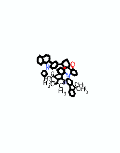 C=CC1=C(/C=C\C)c2c(N(c3ccc4c(c3)C(C)(C)c3ccccc3-4)c3cccc4oc5ccc(-c6ccc7c(c6)c6ccc8ccccc8c6n7-c6ccccc6)cc5c34)cccc2C1(C)C